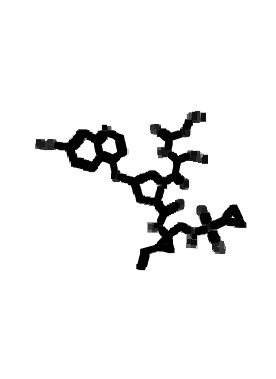 C=CC1CC1(CNS(=O)(=O)C1CC1)NC(=O)C1CC(Oc2ccnc3cc(OC)ccc23)CN1C(=O)C(NC(=O)OC(C)(C)C)C(C)(C)C